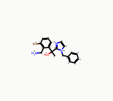 CC(O)(c1cccc(Br)c1CN)c1nccn1Cc1ccccc1